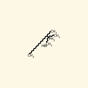 Br.CCCCCCCCCCCCCCCCC(CCCC)C(P)(CCCC)CCCC